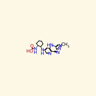 Cn1cc(Nc2cc(N[C@@H]3CCCC[C@@H]3NC(=O)O)cnc2C#N)cn1